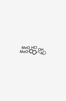 COc1cc2ccc(C(O)CN3CCCC3)cc2cc1OC.Cl